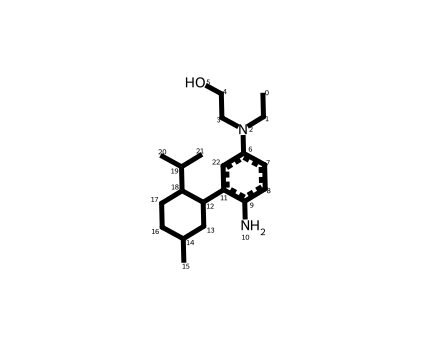 CCN(CCO)c1ccc(N)c(C2CC(C)CCC2C(C)C)c1